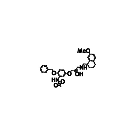 COc1ccc2c(c1)C(CNC[C@@H](O)COc1ccc(OCc3ccccc3)c(NS(C)(=O)=O)c1)CCC2